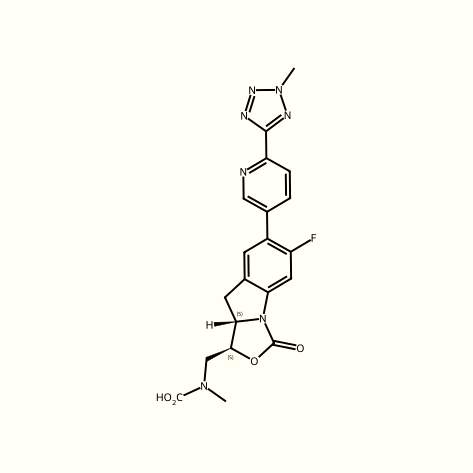 CN(C[C@@H]1OC(=O)N2c3cc(F)c(-c4ccc(-c5nnn(C)n5)nc4)cc3C[C@@H]12)C(=O)O